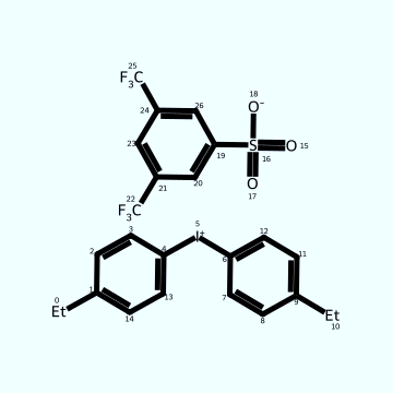 CCc1ccc([I+]c2ccc(CC)cc2)cc1.O=S(=O)([O-])c1cc(C(F)(F)F)cc(C(F)(F)F)c1